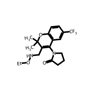 CCONCC1=C(N2CCCC2=O)c2cc(C(F)(F)F)ccc2OC1(C)C